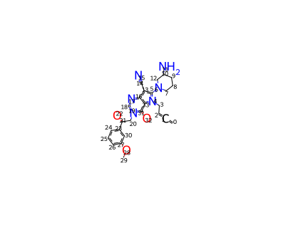 C=C=CCn1c(N2CCCC(N)C2)c(C#N)c2ncn(CC(=O)c3cccc(OC)c3)c(=O)c21